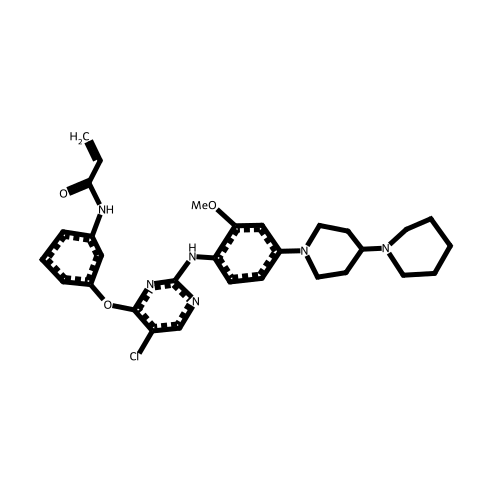 C=CC(=O)Nc1cccc(Oc2nc(Nc3ccc(N4CCC(N5CCCCC5)CC4)cc3OC)ncc2Cl)c1